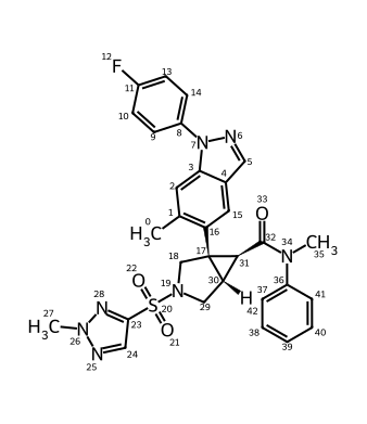 Cc1cc2c(cnn2-c2ccc(F)cc2)cc1[C@]12CN(S(=O)(=O)c3cnn(C)n3)C[C@H]1[C@@H]2C(=O)N(C)c1ccccc1